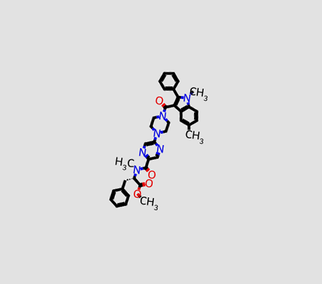 COC(=O)[C@H](Cc1ccccc1)N(C)C(=O)c1cnc(N2CCN(C(=O)c3c(-c4ccccc4)n(C)c4ccc(C)cc34)CC2)cn1